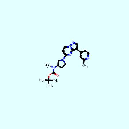 Cc1cc(-c2cnn3ccc(N4CCC(N(C)C(=O)OC(C)(C)C)C4)nc23)ccn1